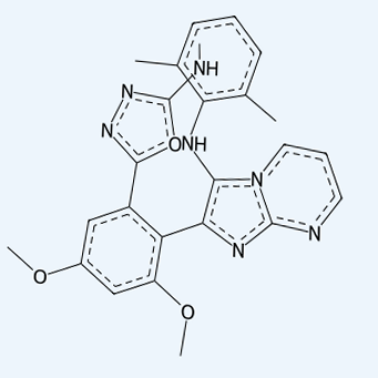 CNc1nnc(-c2cc(OC)cc(OC)c2-c2nc3ncccn3c2Nc2c(C)cccc2C)o1